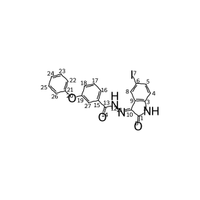 O=C1Nc2ccc(I)cc2/C1=N\NC(=O)c1cccc(Oc2ccccc2)c1